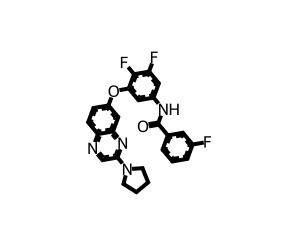 O=C(Nc1cc(F)c(F)c(Oc2ccc3ncc(N4CCCC4)nc3c2)c1)c1cccc(F)c1